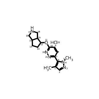 Cc1cnn(C)c1-c1ccc(OC2CCC3CNCC32)nn1.Cl